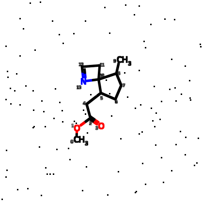 COC(=O)CC1CCC(C)C12CC=N2